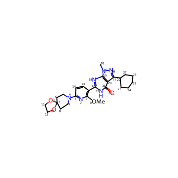 COc1nc(N2CCC3(CC2)OCCO3)ccc1-c1nc2c(c(C3CCCCC3)nn2C)c(=O)[nH]1